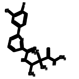 CNC(=O)C(C)(C)C(C)NC(=O)c1cccc(-c2ccc(F)c(Cl)c2)n1